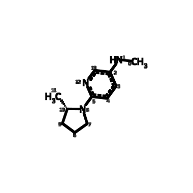 CNc1ccc(N2CCC[C@@H]2C)nc1